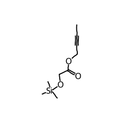 CC#CCOC(=O)CO[Si](C)(C)C